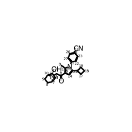 Cc1c(C(=O)CN2C3CCC2[C@H](O)C3)cc(C2CCC2)n1-c1ccc(C#N)cc1